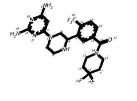 Nc1cc(N2CCNC(c3cc(C(=O)N4CCC(F)(F)CC4)ccc3C(F)(F)F)C2)nc(N)n1